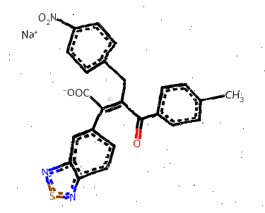 Cc1ccc(C(=O)/C(Cc2ccc([N+](=O)[O-])cc2)=C(/C(=O)[O-])c2ccc3nsnc3c2)cc1.[Na+]